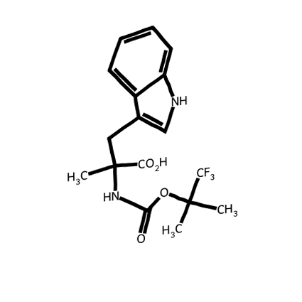 CC(Cc1c[nH]c2ccccc12)(NC(=O)OC(C)(C)C(F)(F)F)C(=O)O